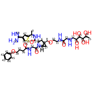 CC(NC(=O)[C@@H]1C[C@]2(COCCNC(=O)CNCC(O)C(O)C(O)C(C)O)C[C@@H]2N1C(=O)CNC(=O)CCCOc1ccccc1)c1cc(C(=N)N)cs1